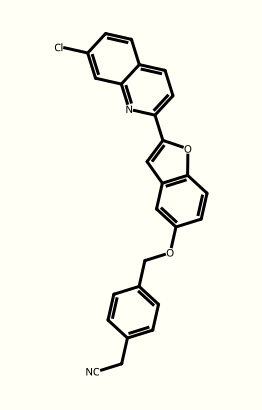 N#CCc1ccc(COc2ccc3oc(-c4ccc5ccc(Cl)cc5n4)cc3c2)cc1